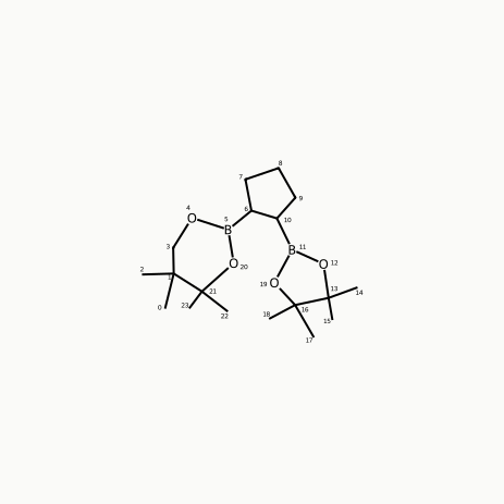 CC1(C)COB(C2CCCC2B2OC(C)(C)C(C)(C)O2)OC1(C)C